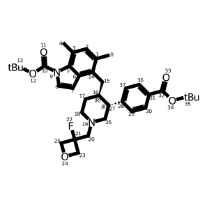 Cc1cc(C)c2c(ccn2C(=O)OC(C)(C)C)c1C[C@@H]1CCN(CC2(F)COC2)C[C@H]1c1ccc(C(=O)OC(C)(C)C)cc1